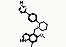 COc1cc(C)c2[nH]ccc2c1CN1CCCCC1c1ccc(-c2cc[nH]n2)cc1